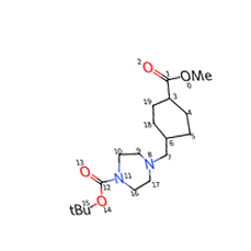 COC(=O)C1CCC(CN2CCN(C(=O)OC(C)(C)C)CC2)CC1